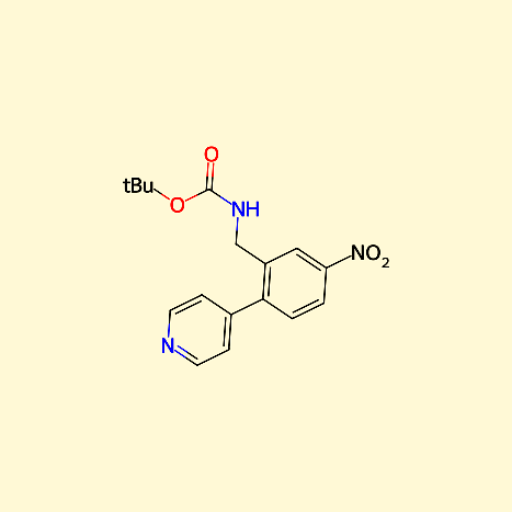 CC(C)(C)OC(=O)NCc1cc([N+](=O)[O-])ccc1-c1ccncc1